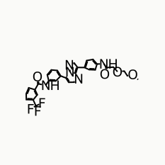 COCCOCC(=O)Nc1ccc(-c2cnn3c(-c4cccc(NC(=O)c5cccc(C(F)(F)F)c5)c4)ccnc23)cc1